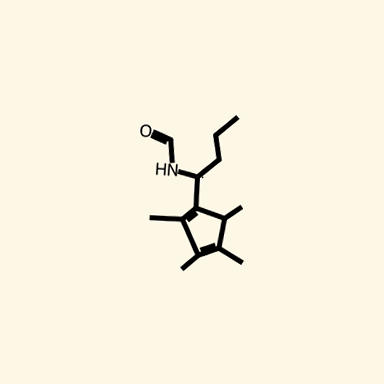 CCC[C](NC=O)C1=C(C)C(C)=C(C)C1C